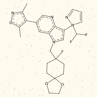 Cc1noc(C)c1-c1cnc2c([N+]3(C(F)F)C=CC=N3)cn(CC3(F)CCC4(CC3)OCCO4)c2c1